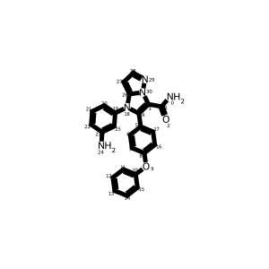 NC(=O)c1c(-c2ccc(Oc3ccccc3)cc2)n(-c2cccc(N)c2)c2ccnn12